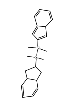 C[Si](C)(C1=CC2C=CC=CC2=C1)[Si](C)(C)C1CC2C=CC=CC2C1